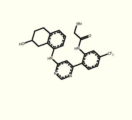 CC(C)(C)CC(=O)Nc1cc(C(F)(F)F)ccc1-c1cc(Nc2cccc3c2CC(O)CC3)ncn1